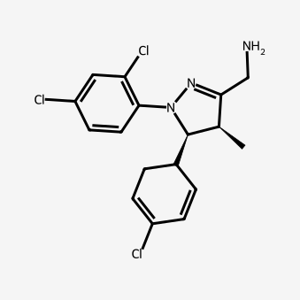 C[C@@H]1C(CN)=NN(c2ccc(Cl)cc2Cl)[C@@H]1C1C=CC(Cl)=CC1